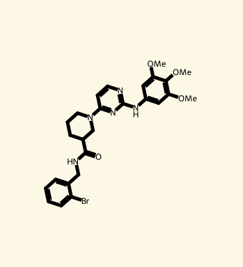 COc1cc(Nc2nccc(N3CCCC(C(=O)NCc4ccccc4Br)C3)n2)cc(OC)c1OC